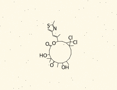 CC(=Cc1csc(C)n1)C1CC2C(Cl)(Cl)C2(C)CCCC(C)C(O)C(C)C(=O)C(C)(C)C(O)CC(=O)O1